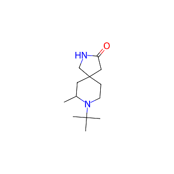 CC1CC2(CCN1C(C)(C)C)CNC(=O)C2